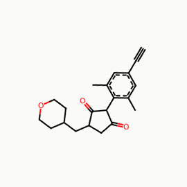 C#Cc1cc(C)c(C2C(=O)CC(CC3CCOCC3)C2=O)c(C)c1